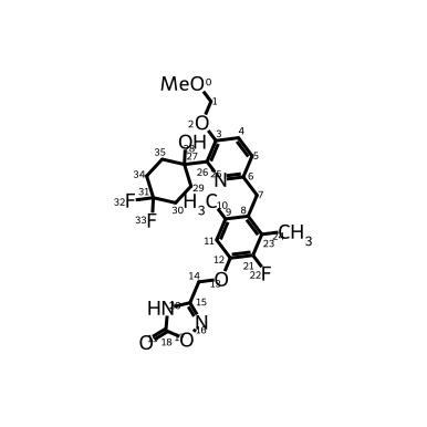 COCOc1ccc(Cc2c(C)cc(OCc3noc(=O)[nH]3)c(F)c2C)nc1C1(O)CCC(F)(F)CC1